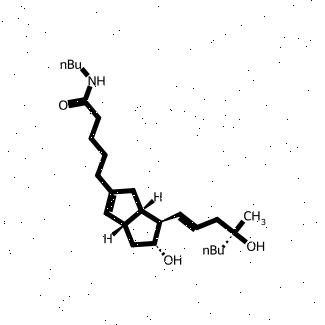 CCCCNC(=O)CCCCC1=C[C@H]2C[C@@H](O)[C@H](/C=C/C[C@@](C)(O)CCCC)[C@H]2C1